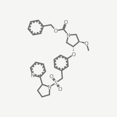 CO[C@@H]1CN(C(=O)OCc2ccccc2)C[C@H]1Oc1cccc(CS(=O)(=O)N2CCCC2c2ccccn2)c1